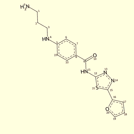 NCCCNc1ccc(C(=O)Nc2nnc(-c3ccco3)s2)cc1